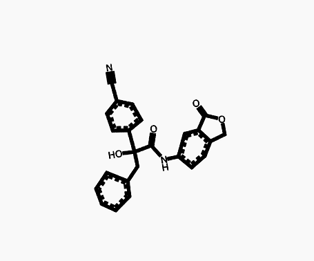 N#Cc1ccc(C(O)(Cc2ccccc2)C(=O)Nc2ccc3c(c2)C(=O)OC3)cc1